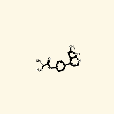 Cc1cc2c(-c3ccc(NC(=O)[C@H](N)C(C)(C)C)cc3)ccnc2[nH]1